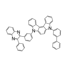 c1ccc(-c2cccc(-n3c4ccccc4c4c5c6ccccc6n(-c6cccc(-c7nc8ccccc8nc7-c7ccccc7)c6)c5ccc43)c2)cc1